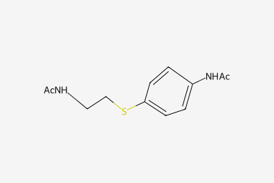 CC(=O)NCCSc1ccc(NC(C)=O)cc1